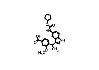 COc1cc(C(=O)O)ccc1C(C)c1c[nH]c2ccc(NC(=O)OC3CCCC3)cc12